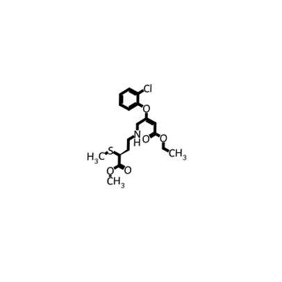 CCOC(=O)C=C(CNCC[C@H](SC)C(=O)OC)Oc1ccccc1Cl